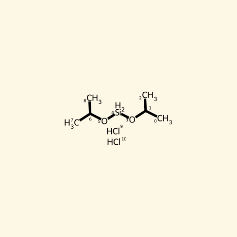 CC(C)O[SiH2]OC(C)C.Cl.Cl